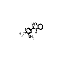 Cc1ncc(C(=O)N[C@H]2CCCC[C@@H]2O)cc1N